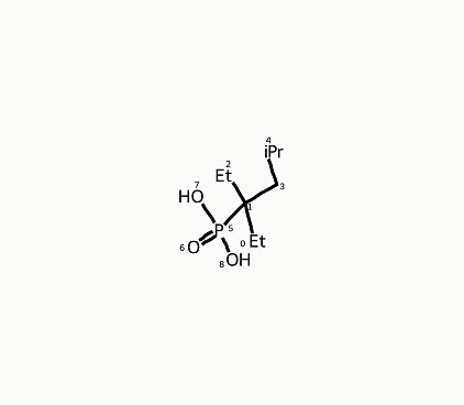 CCC(CC)(CC(C)C)P(=O)(O)O